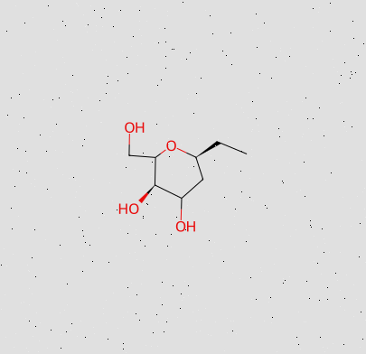 CC[C@H]1CC(O)[C@@H](O)C(CO)O1